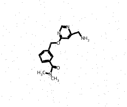 CN(C)C(=O)c1cccc(COc2cc(CN)ncn2)c1